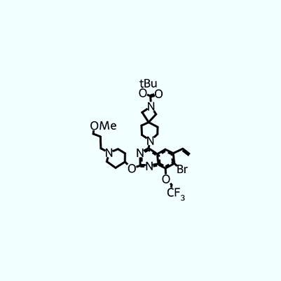 C=Cc1cc2c(N3CCC4(CC3)CN(C(=O)OC(C)(C)C)C4)nc(OC3CCN(CCCOC)CC3)nc2c(OCC(F)(F)F)c1Br